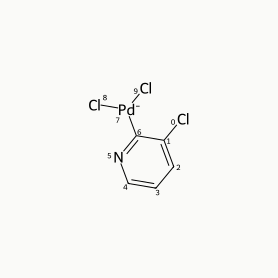 Clc1cccn[c]1[Pd-]([Cl])[Cl]